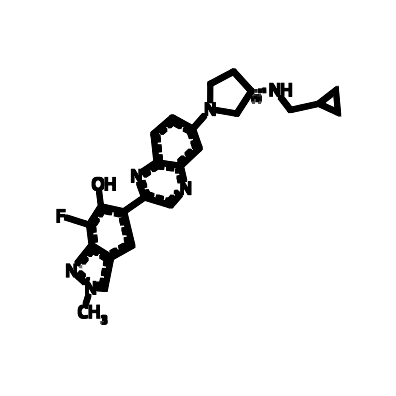 Cn1cc2cc(-c3cnc4cc(N5CC[C@H](NCC6CC6)C5)ccc4n3)c(O)c(F)c2n1